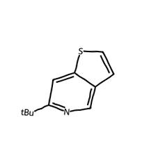 CC(C)(C)c1cc2sccc2cn1